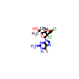 CC(C)(O)[C@H]1O[C@@H](n2cnc3c(=S)[nH]c(N)nc32)C(Cl)(C#CCl)[C@]1(C)O